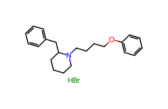 Br.c1ccc(CC2CCCCN2CCCCOc2ccccc2)cc1